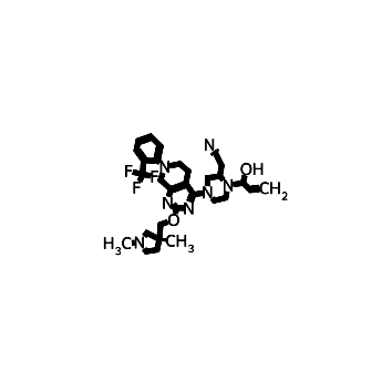 C=CC(O)N1CCN(c2nc(OC[C@]3(C)CCN(C)C3)nc3c2CCN(c2ccccc2C(F)(F)F)C3)CC1CC#N